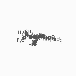 CN(C)CC(=O)N1CCC(CNc2ccc(S(=O)(=O)NC(=O)c3ccc(N4CCN(CC5=C(c6ccc(C(F)(F)F)cc6)CC(C)(C)CC5)CC4)cc3Oc3cnc4[nH]ccc4c3)cc2N)CC1